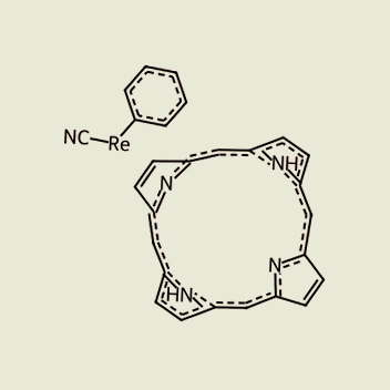 C1=Cc2cc3ccc(cc4nc(cc5ccc(cc1n2)[nH]5)C=C4)[nH]3.N#[C][Re][c]1ccccc1